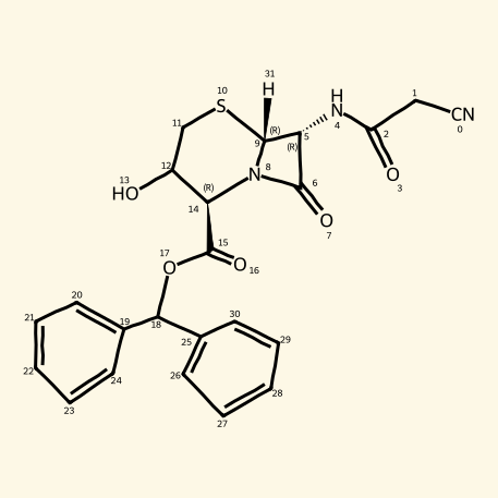 N#CCC(=O)N[C@@H]1C(=O)N2[C@@H]1SCC(O)[C@@H]2C(=O)OC(c1ccccc1)c1ccccc1